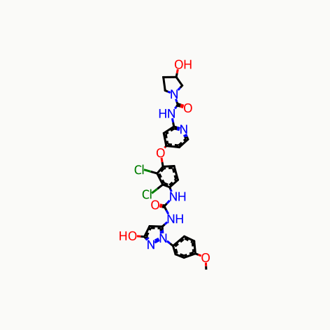 COc1ccc(-n2nc(O)cc2NC(=O)Nc2ccc(Oc3ccnc(NC(=O)N4CCC(O)C4)c3)c(Cl)c2Cl)cc1